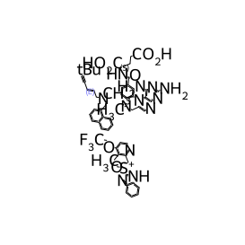 CN(C/C=C/C#CC(C)(C)C)Cc1cccc2ccccc12.CN(Cc1cnc2nc(N)nc(N)c2n1)c1ccc(C(=O)N[C@@H](CCC(=O)O)C(=O)O)cc1.Cc1c(OCC(F)(F)F)ccnc1C[S+]([O-])c1nc2ccccc2[nH]1